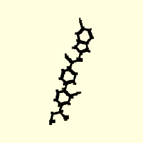 O=C(Nc1nc2ccc(F)cc2s1)c1ccc(-c2ncc([C@H](O)CO)cc2F)nc1